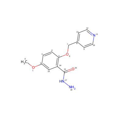 COc1ccc(OCc2ccncc2)c(C(=O)NN)c1